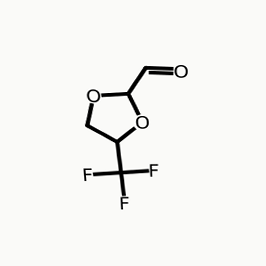 O=CC1OCC(C(F)(F)F)O1